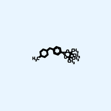 CC1CCC(Cc2ccc(B3OC(C)(C)C(C)(C)O3)cc2)CC1